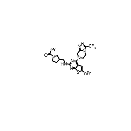 CCCc1cc2c(N3CCn4c(nnc4C(F)(F)F)C3)nc(NCC3CCN(C(=O)C(C)C)C3)nc2s1